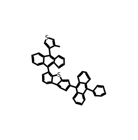 Cc1cscc1-c1c2ccccc2c(-c2cccc3c2sc2cc(-c4c5ccccc5c(-c5ccccc5)c5ccccc45)ccc23)c2ccccc12